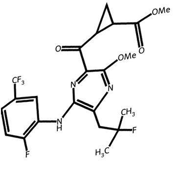 COC(=O)C1CC1C(=O)c1nc(Nc2cc(C(F)(F)F)ccc2F)c(CC(C)(C)F)nc1OC